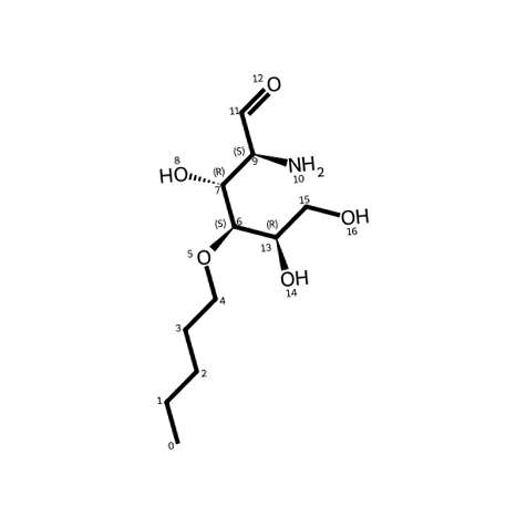 CCCCCO[C@@H]([C@H](O)[C@H](N)C=O)[C@H](O)CO